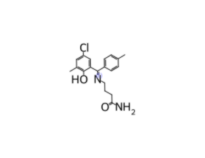 Cc1ccc(/C(=N\CCCC(N)=O)c2cc(Cl)cc(C)c2O)cc1